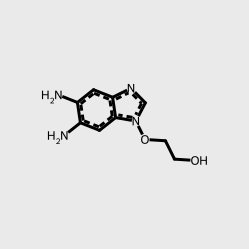 Nc1cc2ncn(OCCO)c2cc1N